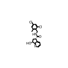 Cc1cc(Cl)cc(Cl)c1CNC(=O)[C@H]1C[C@H](O)c2ncccc21